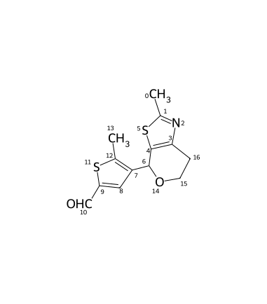 Cc1nc2c(s1)C(c1cc(C=O)sc1C)OCC2